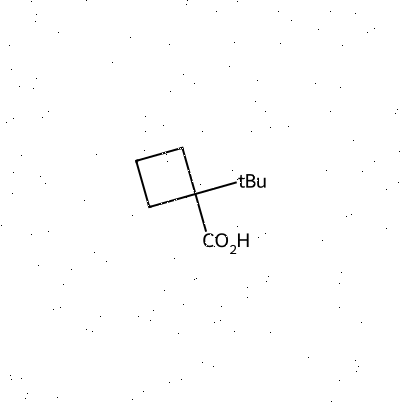 CC(C)(C)C1(C(=O)O)CCC1